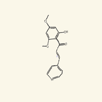 COc1cc(O)c(C(=O)/C=C/c2ccncc2)c(OC)c1